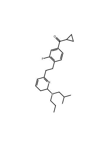 CCCN(CC(C)C)C1CC=CC(CCc2ccc(C(=O)C3CC3)cc2F)=N1